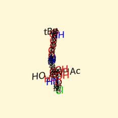 CC(=O)N[C@H]1[C@H]([C@H](O)[C@H](O)CNC(=O)Cc2ccc(Cl)cc2)O[C@@](OCCCCCCn2cc(COCCOCCOCCOCCNC(=O)OC(C)(C)C)nn2)(C(=O)O)C[C@@H]1O